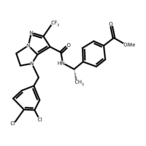 COC(=O)c1ccc([C@H](C)NC(=O)c2c(C(F)(F)F)nn3c2N(Cc2ccc(Cl)c(Cl)c2)CC3)cc1